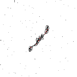 C=CC(=O)OCC(C)OC(=O)CCCCCOc1ccc(C(=O)Oc2ccc(OC(=O)c3ccc(OCCCCCC(=O)OC(C)COC(=O)C=C)cc3)c(C)c2)cc1